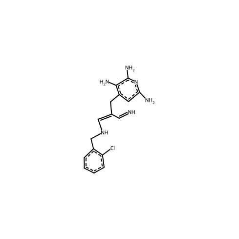 N=C/C(=C\NCc1ccccc1Cl)Cc1cc(N)nc(N)c1N